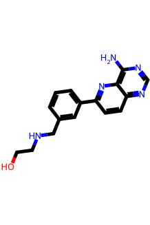 Nc1ncnc2ccc(-c3cccc(CNCCO)c3)nc12